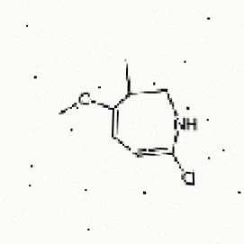 COC1=CC=C(Cl)NCC1C